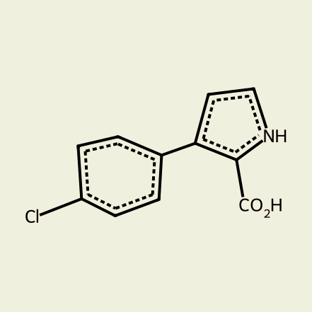 O=C(O)c1[nH]ccc1-c1ccc(Cl)cc1